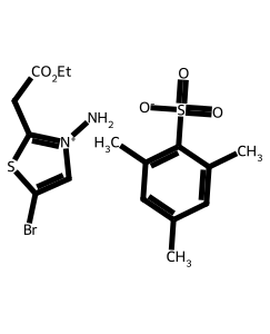 CCOC(=O)Cc1sc(Br)c[n+]1N.Cc1cc(C)c(S(=O)(=O)[O-])c(C)c1